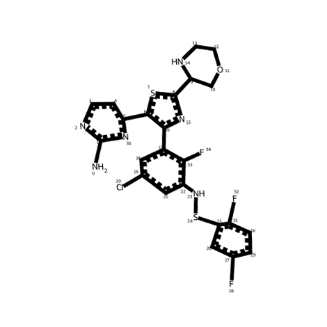 Nc1nccc(-c2sc(C3COCCN3)nc2-c2cc(Cl)cc(NSc3cc(F)ccc3F)c2F)n1